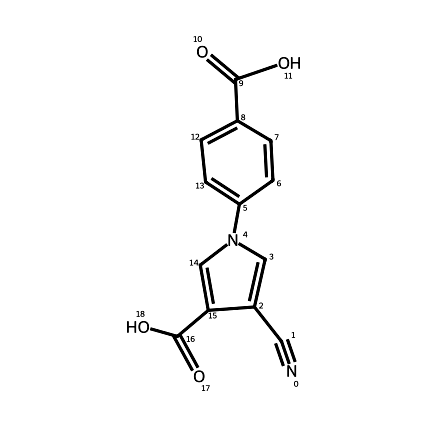 N#Cc1cn(-c2ccc(C(=O)O)cc2)cc1C(=O)O